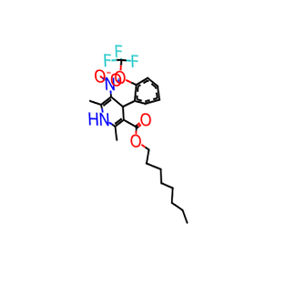 CCCCCCCCOC(=O)C1=C(C)NC(C)=C([N+](=O)[O-])C1c1ccccc1OC(F)(F)F